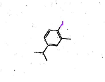 C[C](C)c1ccc(I)c(C)c1